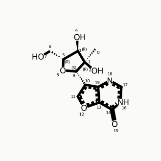 C[C@@]1(O)[C@H](O)[C@@H](CO)O[C@H]1c1coc2c(=O)[nH]cnc12